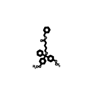 COc1ccc(C(OCCCCC(=O)OCc2ccccc2)(c2ccccc2)c2ccc(OC)cc2)cc1